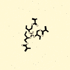 C=C(C)C(=O)OCC(CC)OP(=O)(OC(CC)COC(=O)C(=C)C)OC(CC)COC(=O)C(=C)C